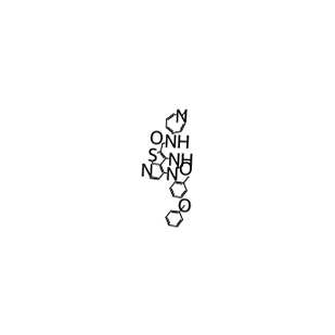 Cc1cc(Oc2ccccc2)ccc1N1C(=O)Nc2c(C(=O)NC3=CC=CN(C)C=C3)sc3nccc1c23